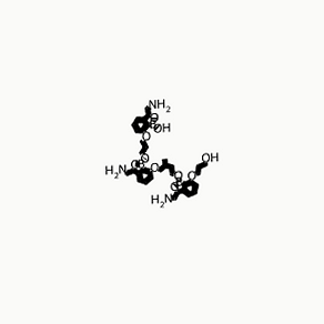 CC(CCOB1OC(CN)c2cccc(OCCCO)c21)COc1cccc2c1B(OCCCOc1cccc3c1B(O)OC3CN)OC2CN